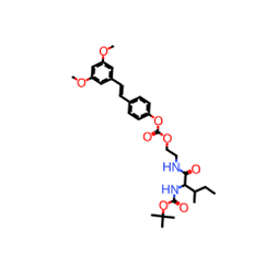 CCC(C)C(NC(=O)OC(C)(C)C)C(=O)NCCOC(=O)Oc1ccc(C=Cc2cc(OC)cc(OC)c2)cc1